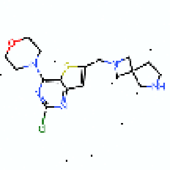 Clc1nc(N2CCOCC2)c2sc(CN3CC4(CCNC4)C3)cc2n1